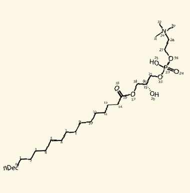 CCCCCCCCCCCCCCCCCCCCCCCCC(=O)OC[C@@H](O)COP(=O)(O)OCC[N+](C)(C)C